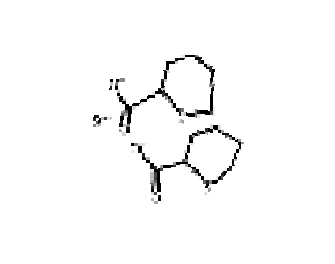 O=C([O-])C1CCCCS1.O=C([O-])C1CCCCS1.[Sr+2]